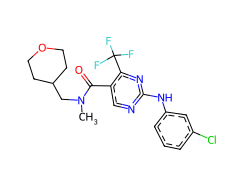 CN(CC1CCOCC1)C(=O)c1cnc(Nc2cccc(Cl)c2)nc1C(F)(F)F